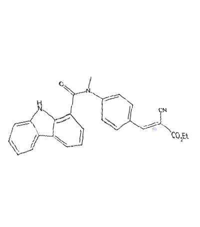 CCOC(=O)/C(C#N)=C/c1ccc(N(C)C(=O)c2cccc3c2[nH]c2ccccc23)cc1